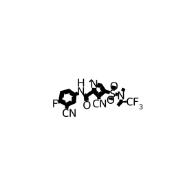 C[C@@H](N(C)S(=O)(=O)c1cn(C)c(C(=O)Nc2ccc(F)c(C#N)c2)c1C#N)C(F)(F)F